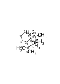 CC(C)(C)C1CCCCC1(O)C(C)(C)C